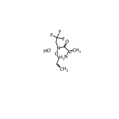 C=CCON(CC(F)(F)F)C(=O)[C@@H](C)N.Cl